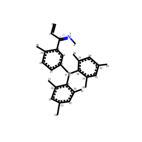 C=C/C(=N/C)c1cc(B(c2c(C)cc(C)cc2C)c2c(C)cc(C)cc2C)ccc1C